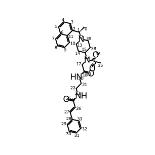 C[C@H](c1cccc2ccccc12)N1CCC(N(CC(=O)NCCNC(=O)/C=C/c2ccccc2)S(C)(=O)=O)CC1